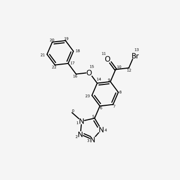 Cn1nnnc1-c1ccc(C(=O)CBr)c(OCc2ccccc2)c1